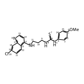 COc1ccc(NC(=S)NCCCNc2ccnc3cc(Cl)ccc23)cc1